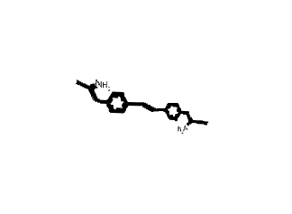 CC(N)Cc1ccc(CCc2ccc(CC(C)N)cc2)cc1